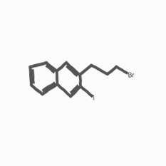 BrCCCc1cc2ccccc2cc1I